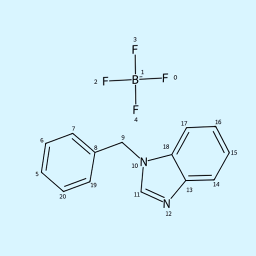 F[B-](F)(F)F.c1ccc(Cn2cnc3ccccc32)cc1